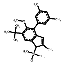 COc1c(C(C)(C)C)cc2c(c1-c1cc(C)cc(C)c1)C=C(C)C2[Si](C)(C)Cl